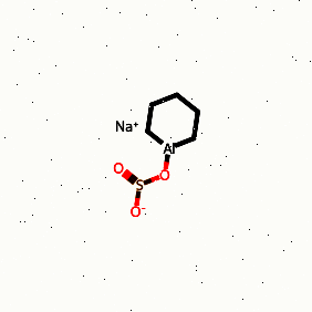 O=S([O-])[O][Al]1[CH2]CCC[CH2]1.[Na+]